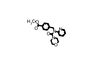 COC(=O)c1ccc(CN(C(=O)N2CCOCC2)c2ccccn2)cc1